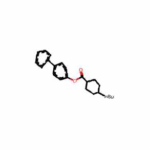 CCCCC1CCC(C(=O)Oc2ccc(-c3ccccc3)cc2)CC1